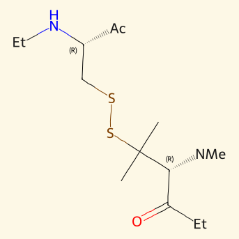 CCN[C@@H](CSSC(C)(C)[C@H](NC)C(=O)CC)C(C)=O